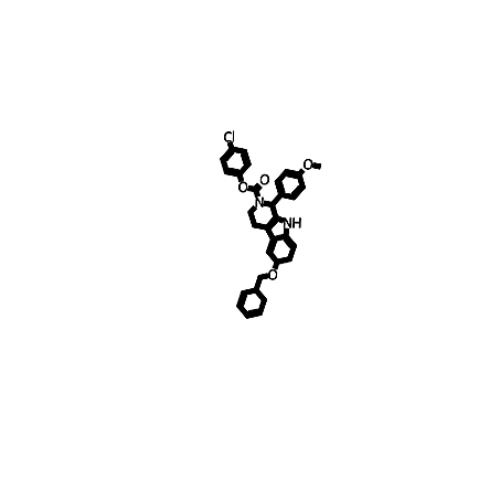 COc1ccc(C2c3[nH]c4c(c3CCN2C(=O)Oc2ccc(Cl)cc2)=CC(OCC2C=CC=CC2)CC=4)cc1